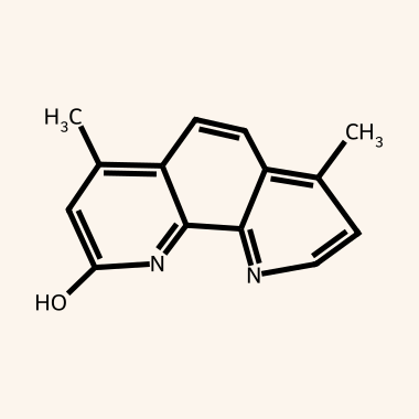 Cc1ccnc2c1ccc1c(C)cc(O)nc12